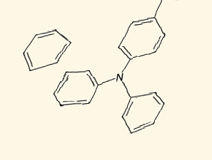 Nc1ccc(N(c2ccccc2)c2ccccc2)cc1.c1ccccc1